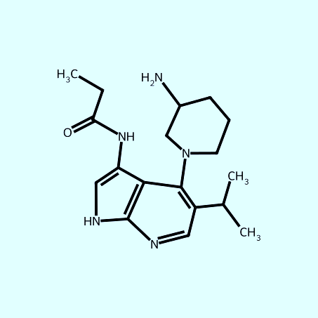 CCC(=O)Nc1c[nH]c2ncc(C(C)C)c(N3CCCC(N)C3)c12